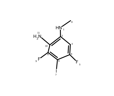 CNc1cc(F)c(I)c(F)c1N